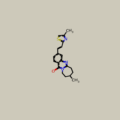 Cc1csc(C=Cc2ccc3c(=O)n4c(nc3c2)CCC(C)CC4)n1